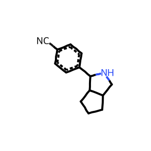 N#Cc1ccc(C2NCC3CCCC32)cc1